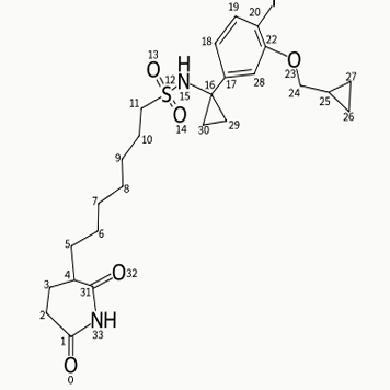 O=C1CCC(CCCCCCCS(=O)(=O)NC2(c3ccc(F)c(OCC4CC4)c3)CC2)C(=O)N1